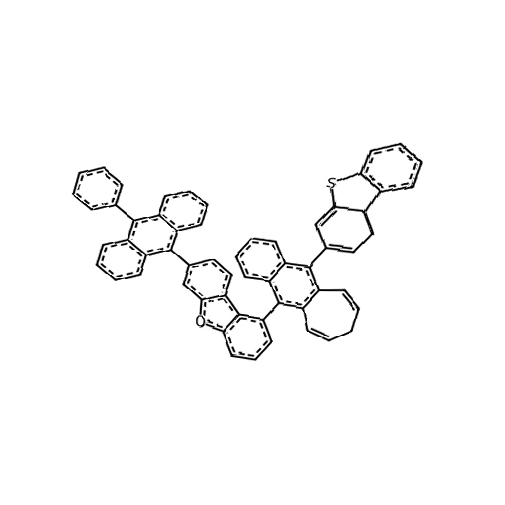 C1=Cc2c(c(-c3cccc4oc5cc(-c6c7ccccc7c(-c7ccccc7)c7ccccc67)ccc5c34)c3ccccc3c2C2=CCC3C(=C2)Sc2ccccc23)C=CC1